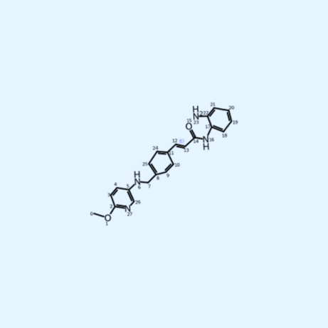 COc1ccc(NCc2ccc(/C=C/C(=O)Nc3ccccc3N)cc2)cn1